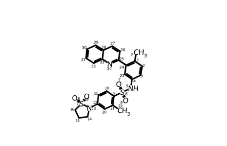 Cc1ccc(NS(=O)(=O)c2ccc(N3CCCS3(=O)=O)cc2C)cc1-c1ccc2ccccc2n1